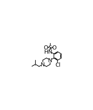 C[C](C)CN1CCN(c2c(Cl)cccc2NS(C)(=O)=O)CC1